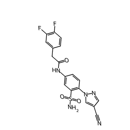 N#Cc1cnn(-c2ccc(NC(=O)Cc3ccc(F)c(F)c3)cc2S(N)(=O)=O)c1